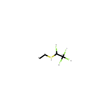 [CH2]CSC(F)C(F)(F)F